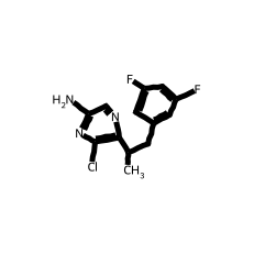 CC(Cc1cc(F)cc(F)c1)c1ncc(N)nc1Cl